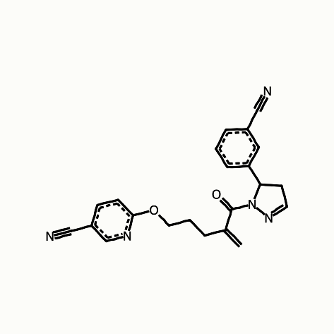 C=C(CCCOc1ccc(C#N)cn1)C(=O)N1N=CCC1c1cccc(C#N)c1